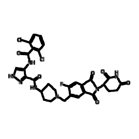 O=C1CCC(N2C(=O)c3cc(F)c(CN4CCC(NC(=O)c5n[nH]cc5NC(=O)c5c(Cl)cccc5Cl)CC4)cc3C2=O)C(=O)N1